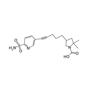 CC1(C)CC(CCCC#Cc2ccc(S(N)(=O)=O)nc2)CN1C(=O)O